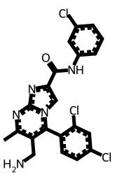 Cc1nc2nc(C(=O)Nc3cccc(Cl)c3)cn2c(-c2ccc(Cl)cc2Cl)c1CN